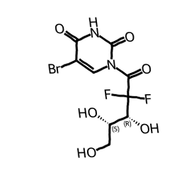 O=C(n1cc(Br)c(=O)[nH]c1=O)C(F)(F)[C@H](O)[C@@H](O)CO